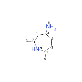 CC1CCC(N)CC(C)N1